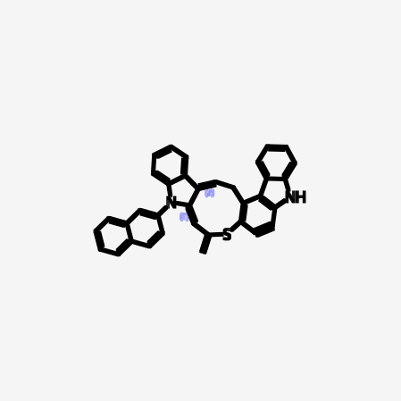 C=C1/C=c2\c(c3ccccc3n2-c2ccc3ccccc3c2)=C/Cc2c(c#cc3[nH]c4ccccc4c23)S1